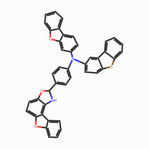 c1ccc2c(c1)oc1cc(N(c3ccc(C4Nc5c(ccc6oc7ccccc7c56)O4)cc3)c3ccc4sc5ccccc5c4c3)ccc12